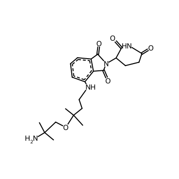 CC(C)(N)COC(C)(C)CCNc1cccc2c1C(=O)N(C1CCC(=O)NC1=O)C2=O